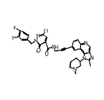 Cc1nc2cnc3ccc(C#CCNC(=O)c4cc(Cl)nn(Cc5ccc(F)c(F)c5)c4=O)cc3c2n1C1CCCN(C)C1